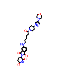 O=C1CCC(N2C(=O)c3ccc(NCCCCCC(=O)N4CCC(n5cc(N6CCOCC6)cn5)CC4)cc3C2=O)C(=O)N1